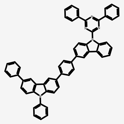 c1ccc(-c2ccc3c(c2)c2cc(-c4ccc(-c5ccc6c(c5)c5ccccc5n6-c5nc(-c6ccccc6)nc(-c6ccccc6)n5)cc4)ccc2n3-c2ccccc2)cc1